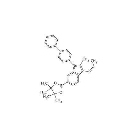 C/C=C\c1c(C)n(-c2ccc(-c3ccccc3)cc2)c2cc(B3OC(C)(C)C(C)(C)O3)ccc12